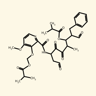 COc1ccnc(C(=O)NC(CC=O)C(=O)C(=O)C(C)C(OC(=O)C(C)C)C(C=O)Cc2ccccc2)c1OCOC(=O)C(C)C